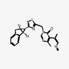 C=N/C=C(/C)c1c(C)ncn(Cc2nc([C@@H]3[C@H]4Cc5ccccc5[C@H]43)no2)c1=O